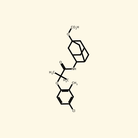 Cc1cc(Cl)ccc1OC(C)(C)C(=O)NC1C2CC3CC1CC(OC(=O)O)(C3)C2